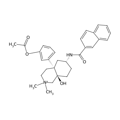 CC(=O)Oc1cccc([C@@]23CC[N+](C)(C)C[C@@]2(O)CC[C@@H](NC(=O)c2ccc4ccccc4c2)C3)c1